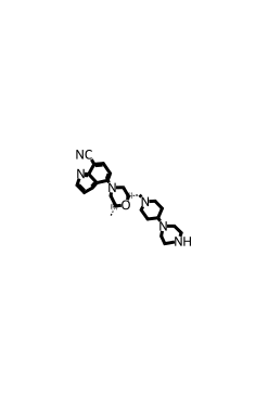 C[C@@H]1CN(c2ccc(C#N)c3ncccc23)C[C@H](CN2CCC(N3CCNCC3)CC2)O1